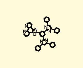 c1ccc(-c2cc(-c3ccccc3)nc(-c3cc(-c4nc(-c5ccccc5)cc(-c5ccccc5)n4)cc(-c4nc5c6cccnc6c6ncccc6c5o4)c3)n2)cc1